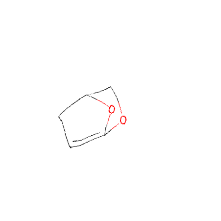 C1=C2OCC(C1)O2